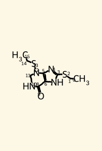 CCSc1nc2c([nH]1)C(=O)NCN2SCC